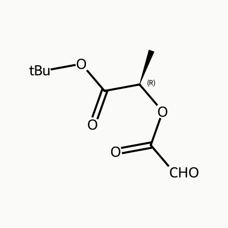 C[C@@H](OC(=O)C=O)C(=O)OC(C)(C)C